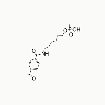 CC(=O)c1ccc(C(=O)NCCCCCCOP(C)(=O)O)cc1